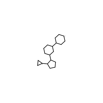 [CH]1CCC(C2CCCC(C3CCCC3[C]3CC3)C2)CC1